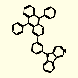 c1ccc(-c2c3ccccc3c(-c3ccccc3)c3cc(-c4cccc(-n5c6ccccc6c6cnccc65)c4)ccc23)cc1